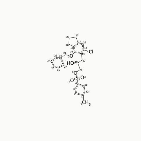 Cc1ccc(S(=O)(=O)OCC(O)Cc2c(Cl)cc3c(c2OCc2ccccc2)CCC3)cc1